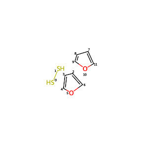 SS.c1ccoc1.c1ccoc1